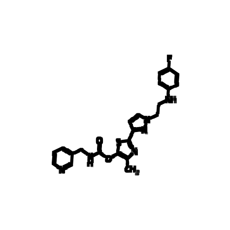 Cc1nc(-c2ccn(CCNc3ccc(F)cc3)n2)sc1OC(=O)NCc1cccnc1